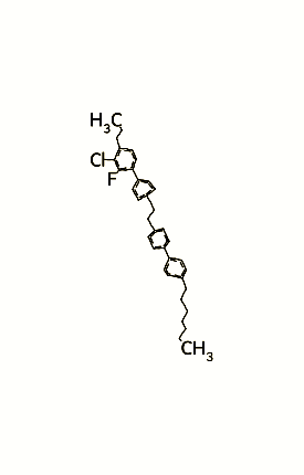 CCCCCCCc1ccc(-c2ccc(CCc3ccc(-c4ccc(CCC)c(Cl)c4F)cc3)cc2)cc1